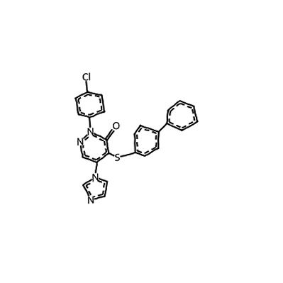 O=c1c(Sc2ccc(-c3ccccc3)cc2)c(-n2ccnc2)cnn1-c1ccc(Cl)cc1